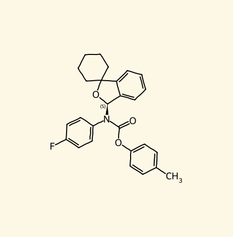 Cc1ccc(OC(=O)N(c2ccc(F)cc2)[C@H]2OC3(CCCCC3)c3ccccc32)cc1